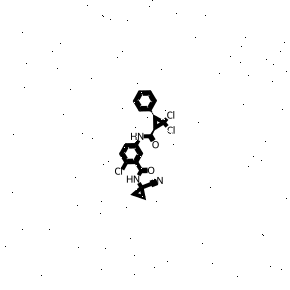 N#CC1(NC(=O)c2cc(NC(=O)[C@H]3[C@H](c4ccccc4)C3(Cl)Cl)ccc2Cl)CC1